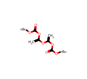 C=C(OC(=C)OC(=O)OCCCC)OC(=O)OCCCC